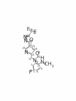 CNc1ccc(F)cc1N(C=O)Cc1ccc(-c2nnc(C(F)F)o2)cn1